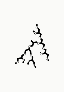 COCC(COCC(COCC(COC)OC)OCC(C)COC(COCC(COC)OC)COCC(COC)OC)OC